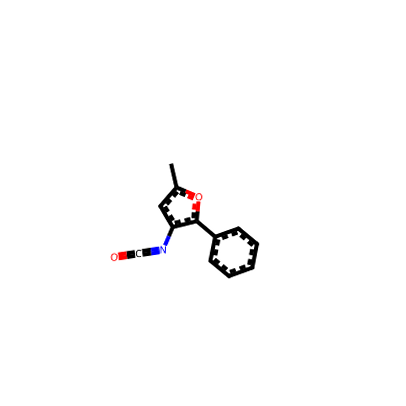 Cc1cc(N=C=O)c(-c2ccccc2)o1